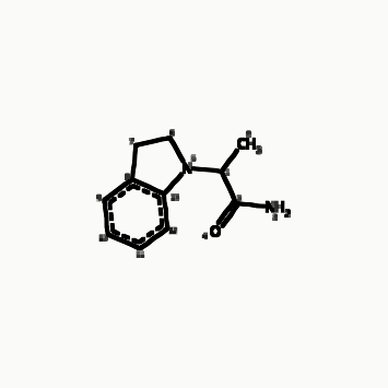 CC(C(N)=O)N1CCc2ccccc21